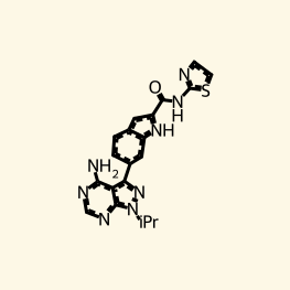 CC(C)n1nc(-c2ccc3cc(C(=O)Nc4nccs4)[nH]c3c2)c2c(N)ncnc21